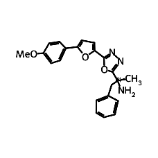 COc1ccc(-c2ccc(-c3nnc([C@](C)(N)Cc4ccccc4)o3)o2)cc1